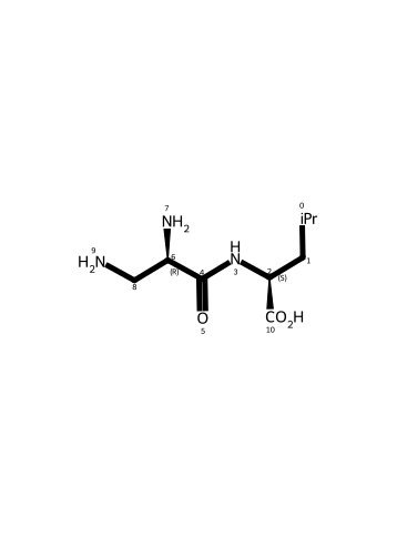 CC(C)C[C@H](NC(=O)[C@H](N)CN)C(=O)O